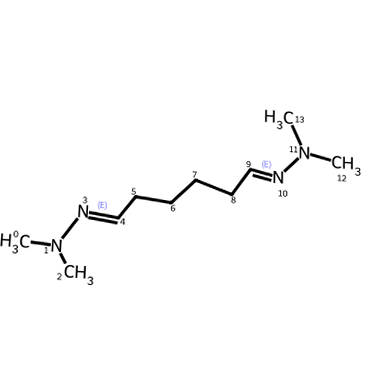 CN(C)/N=C/CCCC/C=N/N(C)C